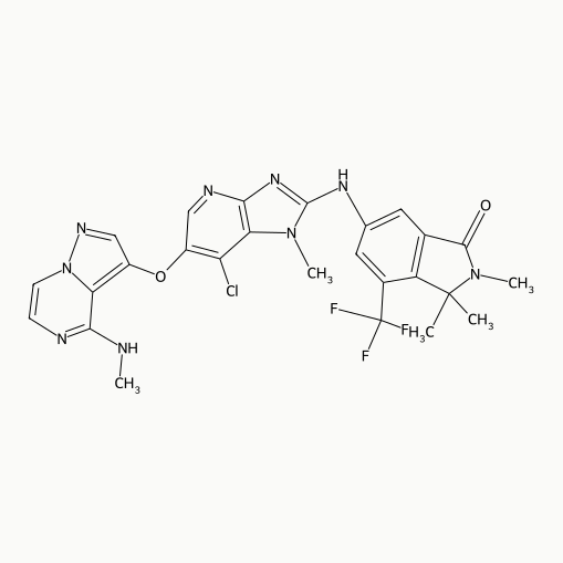 CNc1nccn2ncc(Oc3cnc4nc(Nc5cc6c(c(C(F)(F)F)c5)C(C)(C)N(C)C6=O)n(C)c4c3Cl)c12